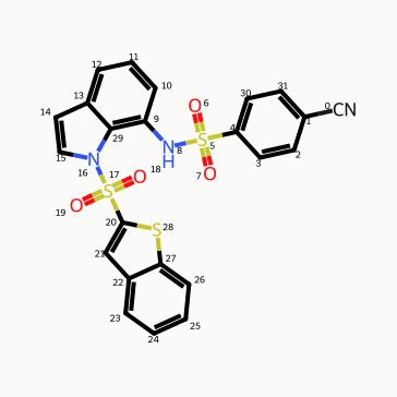 N#Cc1ccc(S(=O)(=O)Nc2cccc3ccn(S(=O)(=O)c4cc5ccccc5s4)c23)cc1